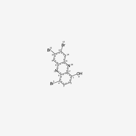 Oc1ccc(Br)c2nc3cc(Br)c(Br)cc3nc12